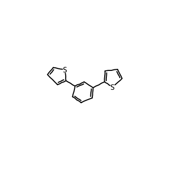 c1cc(-c2cccs2)cc(-c2cccs2)c1